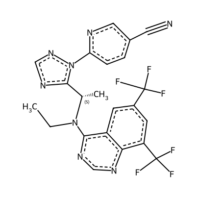 CCN(c1ncnc2c(C(F)(F)F)cc(C(F)(F)F)cc12)[C@@H](C)c1ncnn1-c1ccc(C#N)cn1